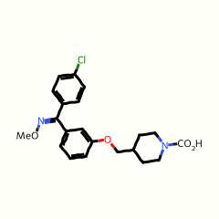 CO/N=C(/c1ccc(Cl)cc1)c1cccc(OCC2CCN(C(=O)O)CC2)c1